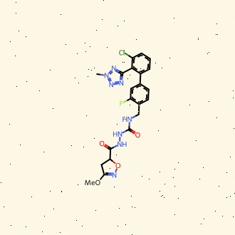 COC1=NOC(C(=O)NNC(=O)NCc2ccc(-c3cccc(Cl)c3-c3nnn(C)n3)cc2F)C1